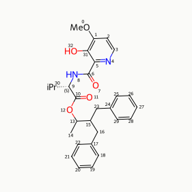 COc1ccnc(C(=O)N[C@H](C(=O)OC(C)C(Cc2ccccc2)Cc2ccccc2)C(C)C)c1O